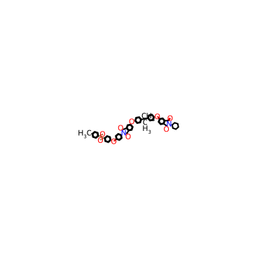 Cc1ccc(S(=O)(=O)c2ccc(Oc3ccc(N4C(=O)c5ccc(Oc6ccc(C(C)(C)c7ccc(Oc8ccc9c(c8)C(=O)N(C8CCCCC8)C9=O)cc7)cc6)cc5C4=O)cc3)cc2)cc1